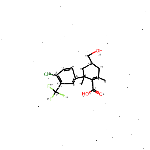 CC1=C(C(=O)O)C(C)(c2ccc(Cl)c(C(F)(F)F)c2)CC(CO)C1